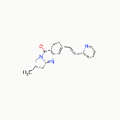 CC1Cc2nc3cc(C=Cc4ccccn4)ccc3c(=O)n2C1